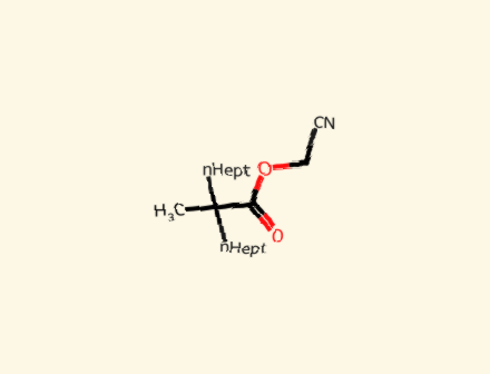 CCCCCCCC(C)(CCCCCCC)C(=O)OCC#N